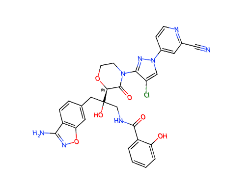 N#Cc1cc(-n2cc(Cl)c(N3CCO[C@H](C(O)(CNC(=O)c4ccccc4O)Cc4ccc5c(N)noc5c4)C3=O)n2)ccn1